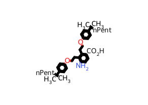 CCCCCC(C)(C)c1ccc(OCCc2c(N)ccc(C(=O)O)c2CCOc2ccc(C(C)(C)CCCCC)cc2)cc1